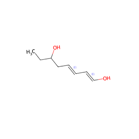 CCC(O)C/C=C/C=C/O